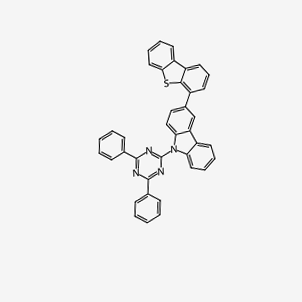 c1ccc(-c2nc(-c3ccccc3)nc(-n3c4ccccc4c4cc(-c5cccc6c5sc5ccccc56)ccc43)n2)cc1